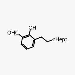 CCCCCCCCCc1cccc(C=O)c1O